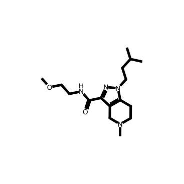 COCCNC(=O)c1nn(CCC(C)C)c2c1CN(C)CC2